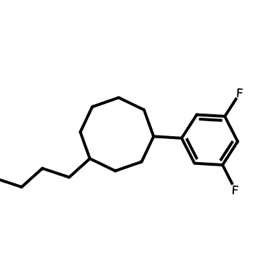 CCCCC1CCCCC(c2cc(F)cc(F)c2)CC1